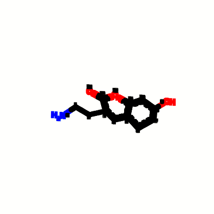 NCCc1cc2ccc(O)cc2oc1=O